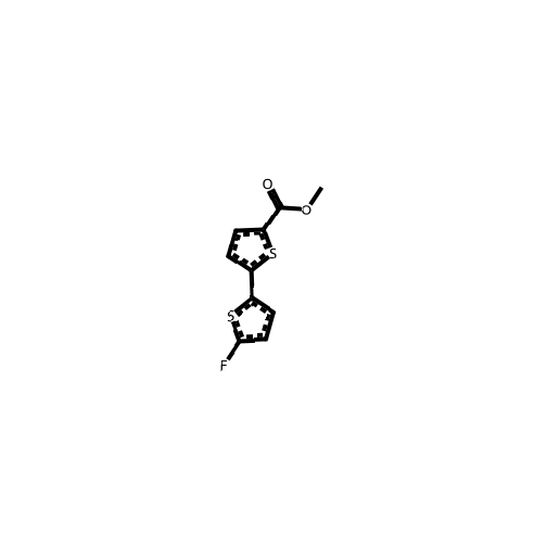 COC(=O)c1ccc(-c2ccc(F)s2)s1